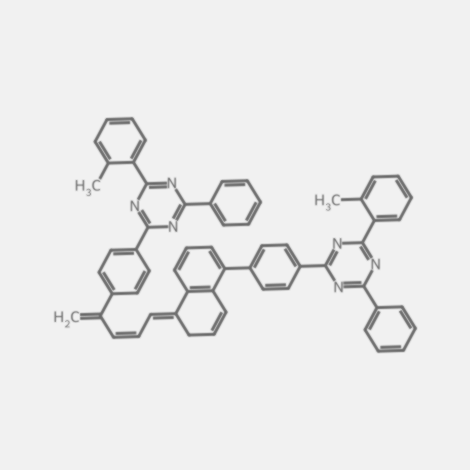 C=C(/C=C\C=C1/CC=Cc2c1cccc2-c1ccc(-c2nc(-c3ccccc3)nc(-c3ccccc3C)n2)cc1)c1ccc(-c2nc(-c3ccccc3)nc(-c3ccccc3C)n2)cc1